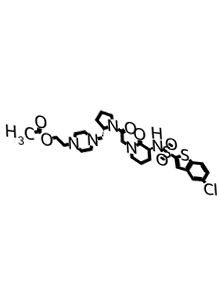 CC(=O)OCCN1CCN(C[C@@H]2CCCN2C(=O)CN2CCC[C@H](NS(=O)(=O)c3cc4cc(Cl)ccc4s3)C2=O)CC1